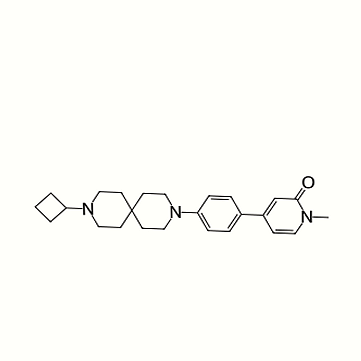 Cn1ccc(-c2ccc(N3CCC4(CC3)CCN(C3CCC3)CC4)cc2)cc1=O